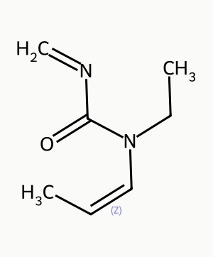 C=NC(=O)N(/C=C\C)CC